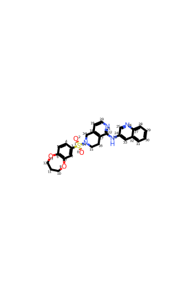 O=S(=O)(c1ccc2c(c1)OCCCO2)N1CCc2c(ccnc2Nc2cnc3ccccc3c2)C1